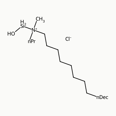 CCCCCCCCCCCCCCCCCC[N+](C)(CCC)[SiH2]O.[Cl-]